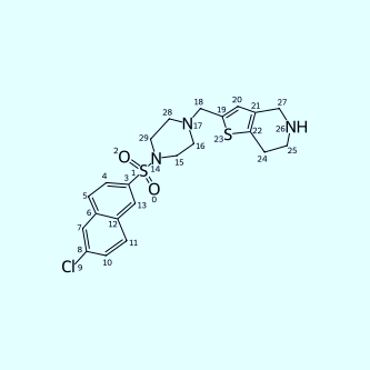 O=S(=O)(c1ccc2cc(Cl)ccc2c1)N1CCN(Cc2cc3c(s2)CCNC3)CC1